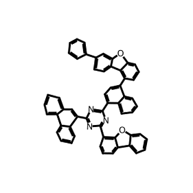 c1ccc(-c2ccc3c(c2)oc2cccc(-c4ccc(-c5nc(-c6cc7ccccc7c7ccccc67)nc(-c6cccc7c6oc6ccccc67)n5)c5ccccc45)c23)cc1